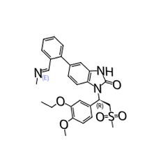 CCOc1cc([C@H](CS(C)(=O)=O)n2c(=O)[nH]c3cc(-c4ccccc4/C=N/C)ccc32)ccc1OC